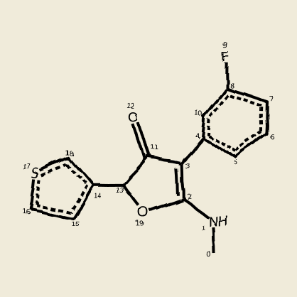 CNC1=C(c2cccc(F)c2)C(=O)C(c2ccsc2)O1